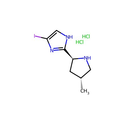 C[C@H]1CN[C@H](c2nc(I)c[nH]2)C1.Cl.Cl